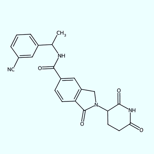 CC(NC(=O)c1ccc2c(c1)CN(C1CCC(=O)NC1=O)C2=O)c1cccc(C#N)c1